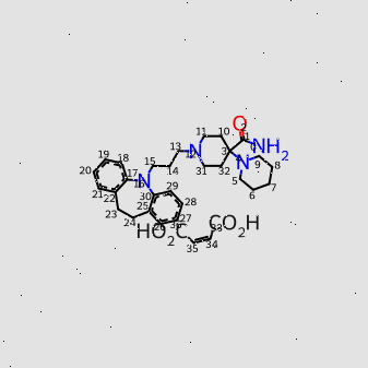 NC(=O)C1(N2CCCCC2)CCN(CCCN2c3ccccc3CCc3ccccc32)CC1.O=C(O)/C=C\C(=O)O